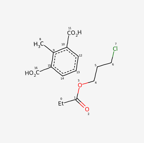 CCC(=O)OCCCCl.Cc1c(C(=O)O)cccc1C(=O)O